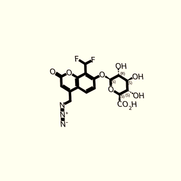 [N-]=[N+]=NCc1cc(=O)oc2c(C(F)F)c(O[C@@H]3O[C@H](C(=O)O)[C@@H](O)[C@H](O)[C@H]3O)ccc12